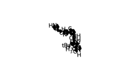 Cc1ccc(NC(=O)Nc2sc(C(C)(C)C)cc2C(=O)N2CCNC(=O)C2(C)C)cc1-c1ccc(OCCN2CCNCC2)nc1